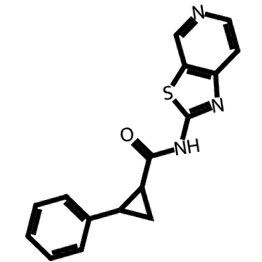 O=C(Nc1nc2ccncc2s1)C1CC1c1ccccc1